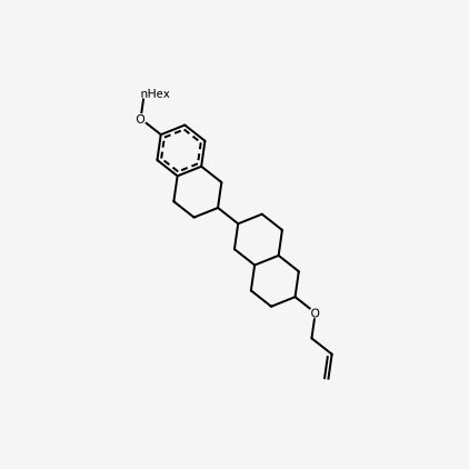 C=CCOC1CCC2CC(C3CCc4cc(OCCCCCC)ccc4C3)CCC2C1